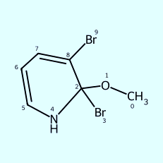 COC1(Br)NC=CC=C1Br